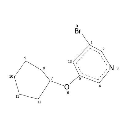 Brc1cncc(OC2CCCCC2)c1